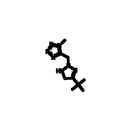 Cn1nnnc1CN1N=C(C(C)(C)C)CN1